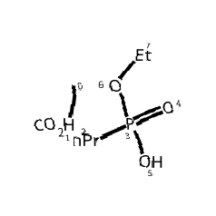 CC(=O)O.CCCP(=O)(O)OCC